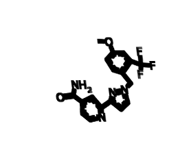 COc1ccc(Cn2ccc(-c3cc(C(N)=O)ccn3)n2)c(C(F)(F)F)c1